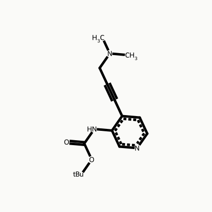 CN(C)CC#Cc1ccncc1NC(=O)OC(C)(C)C